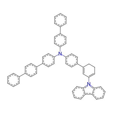 C1=C(c2ccc(N(c3ccc(-c4ccccc4)cc3)c3ccc(-c4ccc(-c5ccccc5)cc4)cc3)cc2)CCC=C1n1c2ccccc2c2ccccc21